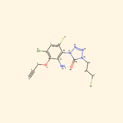 C#CCOc1c(Cl)cc(F)c(-n2nnn(CCCF)c2=O)c1N